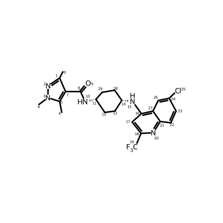 Cc1nn(C)c(C)c1C(=O)N[C@H]1CC[C@@H](Nc2cc(C(F)(F)F)nc3ccc(Cl)cc23)CC1